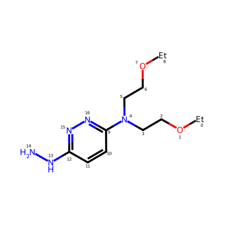 CCOCCN(CCOCC)c1ccc(NN)nn1